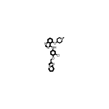 CN1CCC(Oc2cccc3ncnc(Nc4ccc(OCc5cn6ccccc6n5)c(Cl)c4)c23)CC1